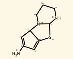 NC1=CC2C(=C1)SC1NCCCN12